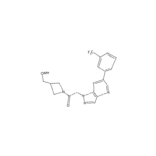 COCC1CN(C(=O)Cn2ncc3ncc(-c4cccc(C(F)(F)F)c4)cc32)C1